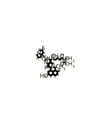 CCc1c(F)ccc2cc(O)cc(-c3ncc4c(N(C)CCCC(=O)N(C)C(C)=O)nc(OC[C@@]56CCCN5C[C@H](F)C6)nc4c3F)c12